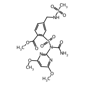 COC(=O)c1ccc(CNS(C)(=O)=O)cc1S(=O)(=O)N(C(N)=O)c1nc(OC)cc(OC)n1